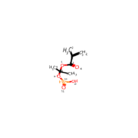 C=C(C)C(=O)OC(C)(C)O[PH](=O)O